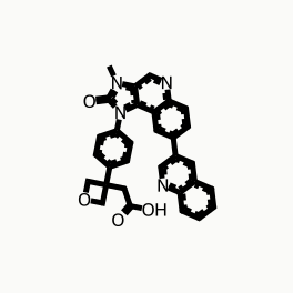 Cn1c(=O)n(-c2ccc(C3(CC(=O)O)COC3)cc2)c2c3cc(-c4cnc5ccccc5c4)ccc3ncc21